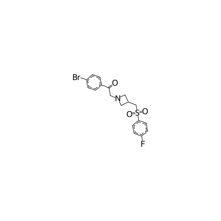 O=C(CN1CC(CS(=O)(=O)c2ccc(F)cc2)C1)c1ccc(Br)cc1